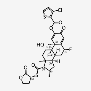 C[C@@H]1C[C@H]2[C@H]3C[C@H](F)C4=CC(=O)C(OC(=O)c5sccc5Cl)=C[C@]4(C)[C@@]3(F)[C@@H](O)C[C@]2(C)[C@@H]1C(=O)S[C@H]1CCOC1=O